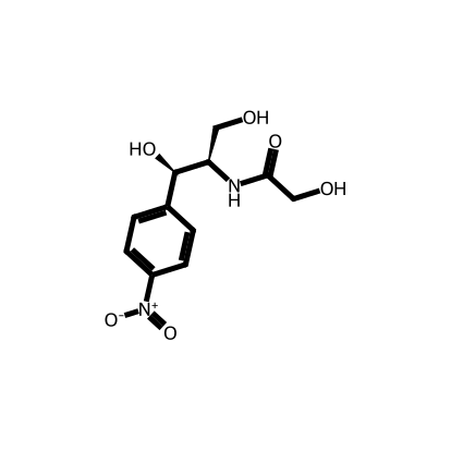 O=C(CO)N[C@H](CO)[C@H](O)c1ccc([N+](=O)[O-])cc1